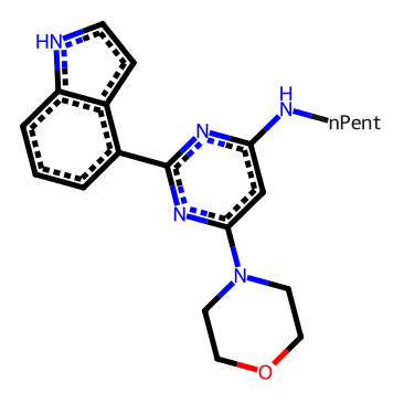 CCCCCNc1cc(N2CCOCC2)nc(-c2cccc3[nH]ccc23)n1